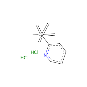 Cl.Cl.[CH2]=[Fe](=[CH2])(=[CH2])(=[CH2])(=[CH2])[c]1ccccn1